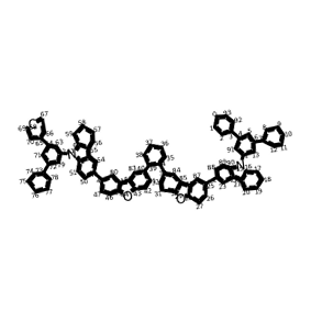 c1ccc(-c2cc(-c3ccccc3)cc(-n3c4ccccc4c4cc(-c5ccc6oc7ccc(-c8ccccc8-c8ccc9oc%10ccc(-c%11ccc%12c(c%11)c%11ccccc%11n%12-c%11cc(-c%12ccccc%12)cc(-c%12ccccc%12)c%11)cc%10c9c8)cc7c6c5)ccc43)c2)cc1